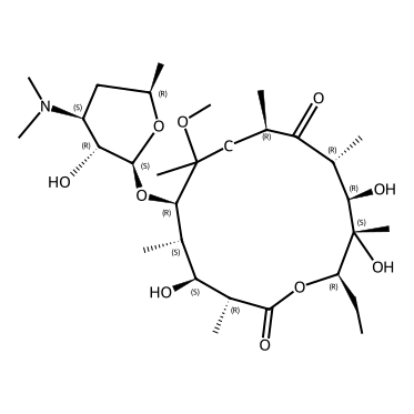 CC[C@H]1OC(=O)[C@H](C)[C@@H](O)[C@H](C)[C@@H](O[C@@H]2O[C@H](C)C[C@H](N(C)C)[C@H]2O)C(C)(OC)C[C@@H](C)C(=O)[C@H](C)[C@@H](O)[C@]1(C)O